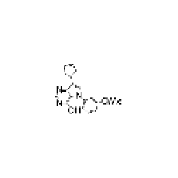 COc1cccc(-n2cc(C3CC=CC3)c3ncnc(O)c32)c1